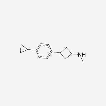 CNC1CC(c2ccc(C3CC3)cc2)C1